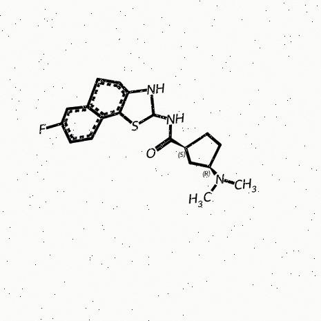 CN(C)[C@@H]1CC[C@H](C(=O)NC2Nc3ccc4cc(F)ccc4c3S2)C1